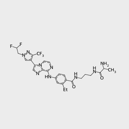 CCc1cc(Nc2nccn3c(-c4cn(CC(F)F)nc4C(F)(F)F)cnc23)ccc1C(=O)NCCCNC(=O)C(C)N